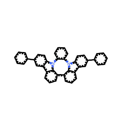 c1ccc(-c2ccc3c(c2)c2cccc4c5cccc6c7cc(-c8ccccc8)ccc7n(c7ccccc7n3c24)c65)cc1